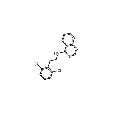 Clc1cccc(Cl)c1CCNc1ncnc2ccccc12